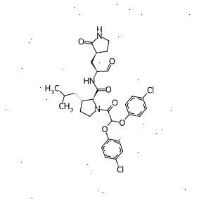 CC(C)C[C@H]1CCN(C(=O)C(Oc2ccc(Cl)cc2)Oc2ccc(Cl)cc2)[C@@H]1C(=O)N[C@H](C=O)C[C@@H]1CCNC1=O